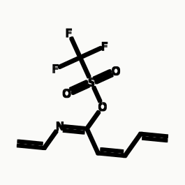 C=C/C=C\C(=N/C=C)OS(=O)(=O)C(F)(F)F